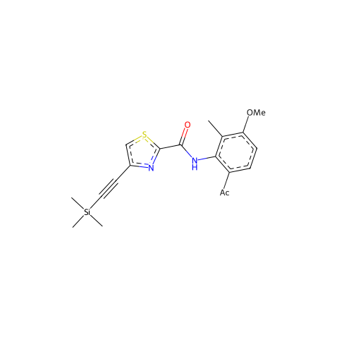 COc1ccc(C(C)=O)c(NC(=O)c2nc(C#C[Si](C)(C)C)cs2)c1C